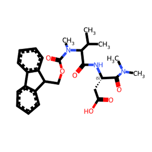 CC(C)C(C(=O)N[C@@H](CC(=O)O)C(=O)N(C)C)N(C)C(=O)OCC1c2ccccc2-c2ccccc21